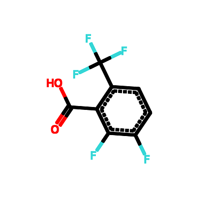 O=C(O)c1c(C(F)(F)F)ccc(F)c1F